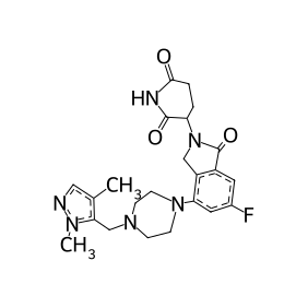 Cc1cnn(C)c1CN1CCN(c2cc(F)cc3c2CN(C2CCC(=O)NC2=O)C3=O)CC1